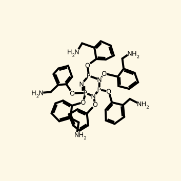 NCc1ccccc1ON1P(Oc2ccccc2CN)N=P(Oc2ccccc2CN)(Oc2ccccc2CN)N(Oc2ccccc2)P1Oc1ccccc1CN